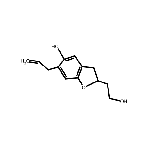 C=CCc1cc2c(cc1O)CC(CCO)O2